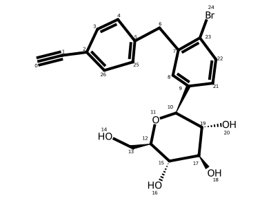 C#Cc1ccc(Cc2cc([C@@H]3O[C@H](CO)[C@@H](O)[C@H](O)[C@H]3O)ccc2Br)cc1